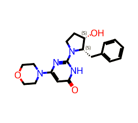 O=c1cc(N2CCOCC2)nc(N2CC[C@H](O)[C@@H]2Cc2ccccc2)[nH]1